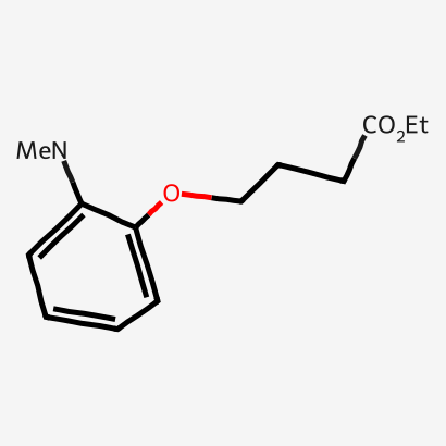 CCOC(=O)CCCOc1ccccc1NC